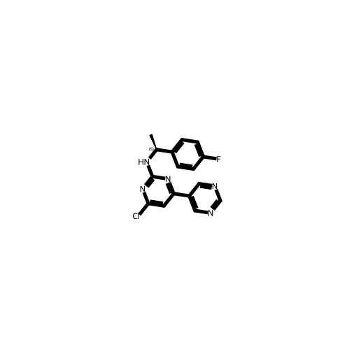 C[C@H](Nc1nc(Cl)cc(-c2cncnc2)n1)c1ccc(F)cc1